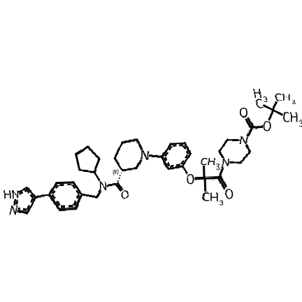 CC(C)(C)OC(=O)N1CCN(C(=O)C(C)(C)Oc2cccc(N3CCC[C@@H](C(=O)N(Cc4ccc(-c5cn[nH]c5)cc4)C4CCCC4)C3)c2)CC1